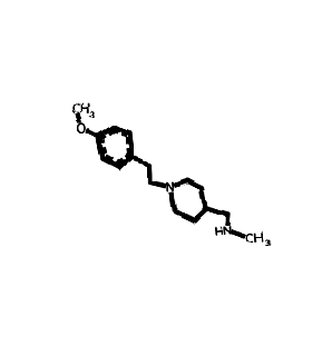 CNCC1CCN(CCc2ccc(OC)cc2)CC1